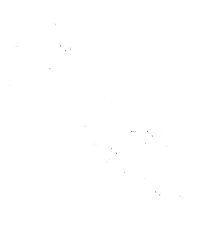 Cc1ccc(OCc2ncccc2F)cc1N1Cc2ncccc2NC1=O